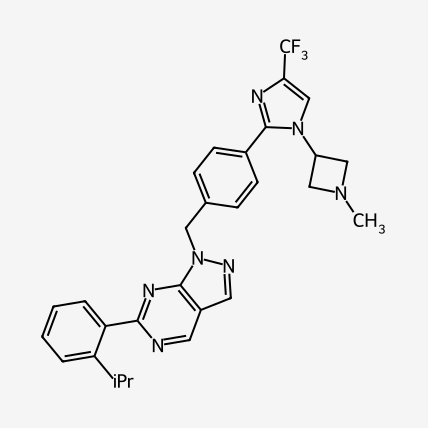 CC(C)c1ccccc1-c1ncc2cnn(Cc3ccc(-c4nc(C(F)(F)F)cn4C4CN(C)C4)cc3)c2n1